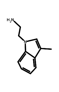 Cc1cn(CCN)c2ccccc12